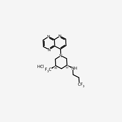 Cl.FC(F)(F)CCN[C@H]1C[C@@H](C(F)(F)F)CN(c2ccnc3nccnc23)C1